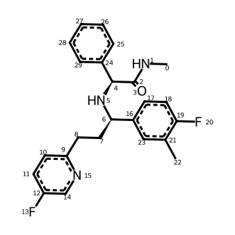 CNC(=O)[C@@H](N[C@H](CCc1ccc(F)cn1)c1ccc(F)c(C)c1)c1ccccc1